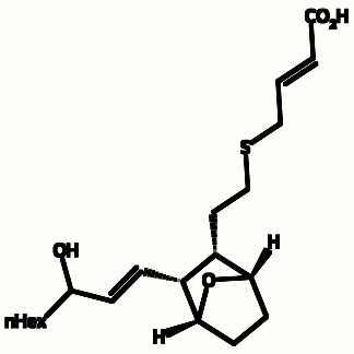 CCCCCCC(O)/C=C/[C@@H]1[C@H](CCSCC=CC(=O)O)[C@@H]2CC[C@H]1O2